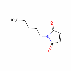 O=C(O)CCCCN1C(=O)C=CC1=O